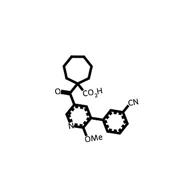 COc1ncc(C(=O)C2(C(=O)O)CCCCCC2)cc1-c1cccc(C#N)c1